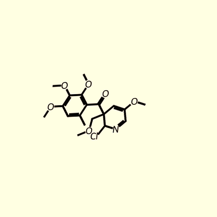 COCC1(C(=O)c2c(C)cc(OC)c(OC)c2OC)C=C(OC)C=NC1Cl